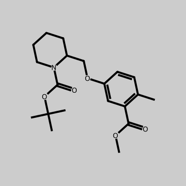 COC(=O)c1cc(OCC2CCCCN2C(=O)OC(C)(C)C)ccc1C